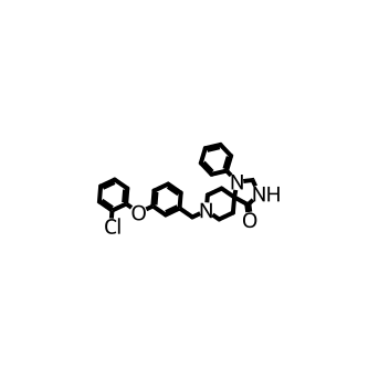 O=C1NCN(c2ccccc2)C12CCN(Cc1cccc(Oc3ccccc3Cl)c1)CC2